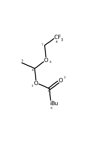 CCC(C)C(=O)OC(C)OCC(F)(F)F